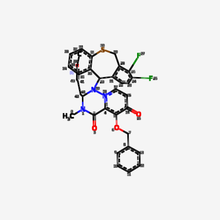 CN1C(=O)c2c(OCc3ccccc3)c(=O)ccn2N2C3c4ccc(F)c(F)c4CSc4c(cccc43)CC/C=C/CCC12